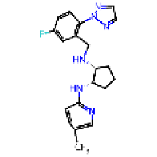 Fc1ccc(-n2nccn2)c(CN[C@@H]2CCC[C@@H]2Nc2ccc(C(F)(F)F)cn2)c1